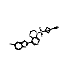 N#CC12CC(S(=O)(=O)N3CCSc4c(-c5cc6cc(Cl)ccc6o5)cncc43)(C1)C2